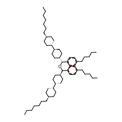 CCCCCCC[C@H]1CC[C@H]([C@H]2CC[C@H](C(OC(c3ccc(CCCCC)cc3)[C@H]3CC[C@H]([C@H]4CC[C@H](CCCCCCC)CC4)CC3)c3ccc(CCCCC)cc3)CC2)CC1